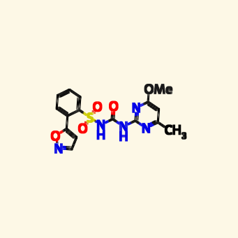 COc1cc(C)nc(NC(=O)NS(=O)(=O)c2ccccc2-c2ccno2)n1